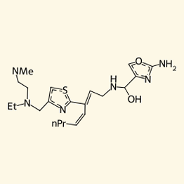 CCC/C=C\C(=C/CNC(O)c1coc(N)n1)c1nc(CN(CC)CCNC)cs1